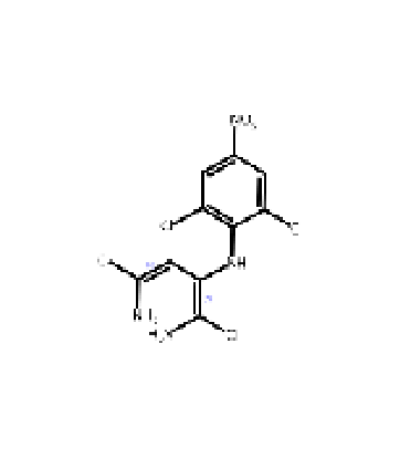 N/C(Cl)=C(\C=C(/N)Cl)Nc1c(Cl)cc([N+](=O)[O-])cc1Cl